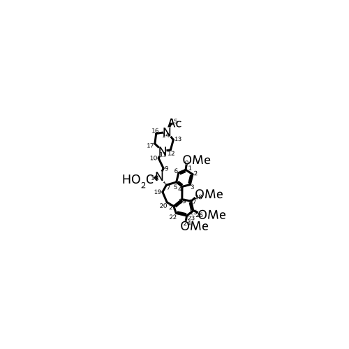 COc1ccc2c(c1)[C@@H](N(CCN1CCN(C(C)=O)CC1)C(=O)O)CCc1cc(OC)c(OC)c(OC)c1-2